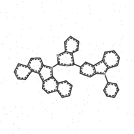 c1ccc(-n2c3ccccc3c3cc(-c4nc(-n5c6ccc7ccccc7c6c6ccc7ccccc7c65)nc5ccccc45)ccc32)cc1